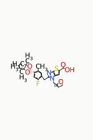 Cc1cc(Cc2nc3sc(C(=O)O)cc3n2C[C@@H]2CCO2)c(F)cc1B1OC(C)(C)C(C)(C)O1